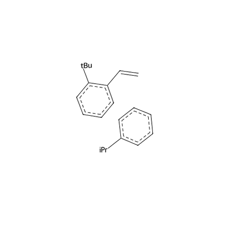 C=Cc1ccccc1C(C)(C)C.CC(C)c1ccccc1